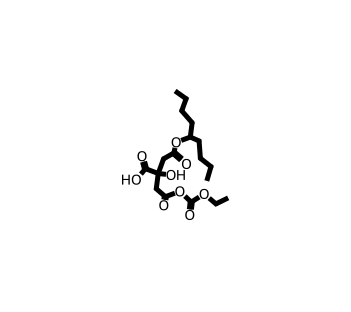 CCCCC(CCCC)OC(=O)CC(O)(CC(=O)OC(=O)OCC)C(=O)O